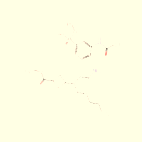 CC(=O)Nc1cccc([As](=O)(O)OO)c1.CCCCCC(CCN)C1CC(C(=O)OC)C1